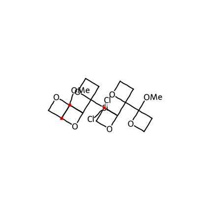 COC1(C2(C3([Si](Cl)(Cl)C4(C5(C6(OC)CCO6)CCO5)CCO4)CCO3)CCO2)CCO1